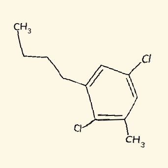 CCCCc1cc(Cl)cc(C)c1Cl